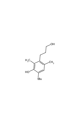 Cc1cc(C(C)(C)C)c(O)c(C)c1CCCO